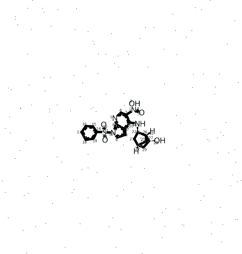 O=[N+](O)c1cnc2c(ccn2S(=O)(=O)c2ccccc2)c1N[C@@H]1C[C@@H]2C[C@H]1[C@H](O)C2